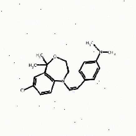 CN(C)c1ccc(/C=C\N2CCOC(C)(C)c3cc(Cl)ccc32)cc1